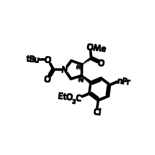 CCCc1cc(Cl)c(C(=O)OCC)c([C@H]2CN(C(=O)OC(C)(C)C)C[C@@H]2C(=O)OC)c1